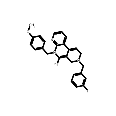 [2H]C1=C2CN(Cc3cccc(F)c3)CC=C2c2cccnc2N1Cc1ccc(OC)cc1